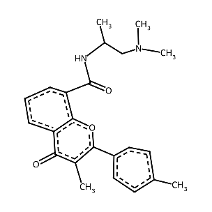 Cc1ccc(-c2oc3c(C(=O)NC(C)CN(C)C)cccc3c(=O)c2C)cc1